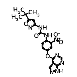 CC(C)(C)c1cc(NC(=O)Nc2ccc(Oc3ncnc4[nH]ncc34)cc2[N+](=O)[O-])no1